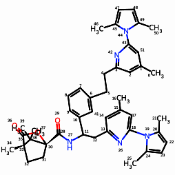 Cc1cc(CCc2cccc(C(Cc3cc(C)cc(-n4c(C)ccc4C)n3)NC(=O)[C@]34CC[C@](C)(C(=O)O3)C4(C)C)c2)nc(-n2c(C)ccc2C)c1